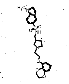 Cn1ccc2cc(S(=O)(=O)NCC3CCN(CCOc4cccc5c4OCCO5)C3)ccc21